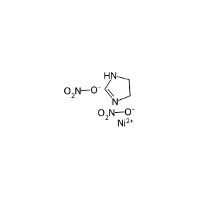 C1=NCCN1.O=[N+]([O-])[O-].O=[N+]([O-])[O-].[Ni+2]